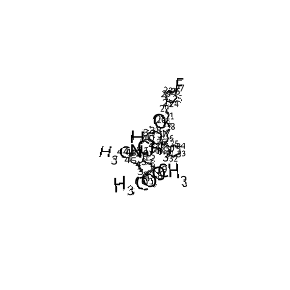 COc1cc2c(cc1OC)C(C)(CCCC(CCCC(=O)CCc1ccc(F)cc1)(c1ccccc1)c1ccccc1)NC(C)C2